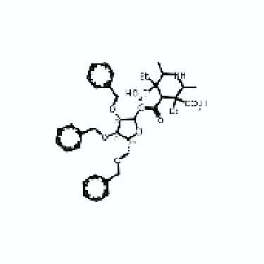 CCC1(C(=O)O)C(C)NC(C)C(CC)(C(=O)O)C1C(=O)OC1O[C@H](COCc2ccccc2)[C@@H](OCc2ccccc2)[C@@H]1OCc1ccccc1